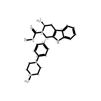 C[C@H]1Cc2c([nH]c3ccccc23)[C@H](c2ccc(N3CCN(C)CC3)cc2)N1C(=O)OCl